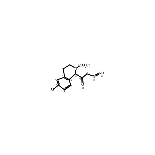 CCOC(=O)N1CCc2cc(Cl)ccc2C1C(=O)CN=N